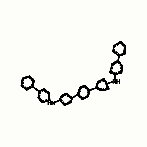 c1ccc(-c2ccc(Nc3ccc(-c4ccc(-c5ccc(Nc6ccc(-c7ccccc7)cc6)cc5)cc4)cc3)cc2)cc1